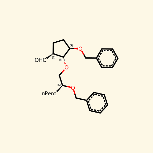 CCCCC[C@@H](CO[C@@H]1[C@@H](C=O)CC[C@H]1OCc1ccccc1)OCc1ccccc1